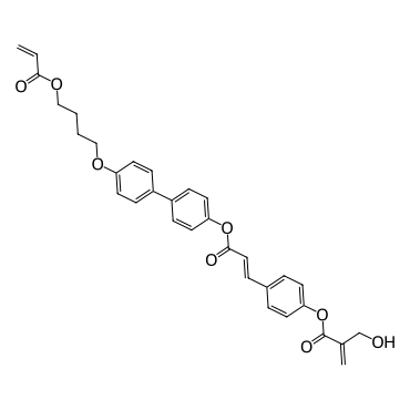 C=CC(=O)OCCCCOc1ccc(-c2ccc(OC(=O)/C=C/c3ccc(OC(=O)C(=C)CO)cc3)cc2)cc1